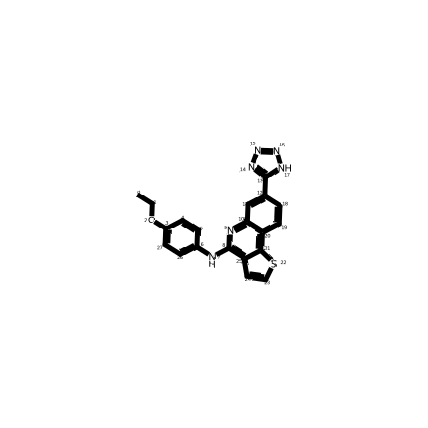 CCOc1ccc(Nc2nc3cc(-c4nnn[nH]4)ccc3c3sccc23)cc1